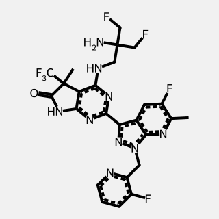 Cc1nc2c(cc1F)c(-c1nc(NCC(N)(CF)CF)c3c(n1)NC(=O)C3(C)C(F)(F)F)nn2Cc1ncccc1F